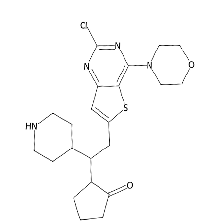 O=C1CCCC1C(Cc1cc2nc(Cl)nc(N3CCOCC3)c2s1)C1CCNCC1